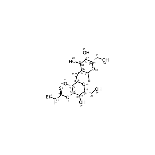 CCNC(=S)O[C@@H]1[C@H](O)[C@@H](O[C@@H]2C(C)O[C@@H](CO)[C@@H](O)[C@@H]2O)O[C@H](CO)[C@H]1O